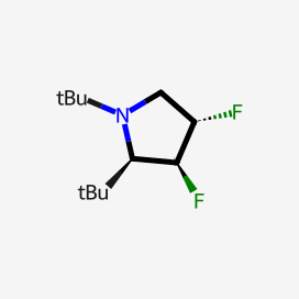 CC(C)(C)[C@@H]1[C@H](F)[C@@H](F)CN1C(C)(C)C